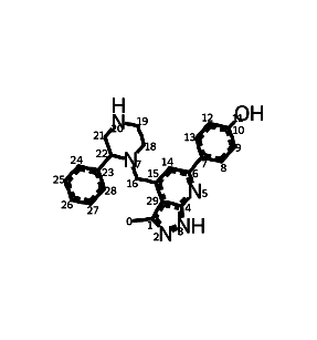 Cc1n[nH]c2nc(-c3ccc(O)cc3)cc(CN3CCNCC3c3ccccc3)c12